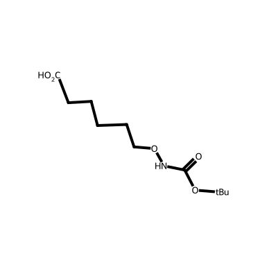 CC(C)(C)OC(=O)NOCCCCCC(=O)O